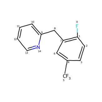 Fc1ccc(C(F)(F)F)cc1Cc1ccccn1